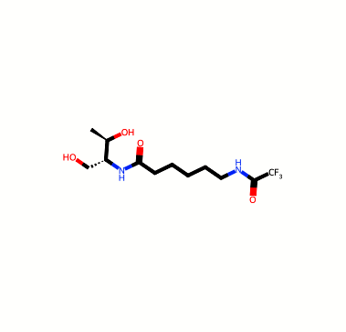 C[C@@H](O)[C@@H](CO)NC(=O)CCCCCNC(=O)C(F)(F)F